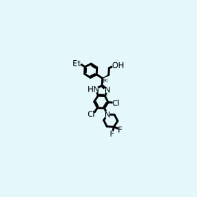 CCc1ccc([C@@H](CCO)c2nc3c(Cl)c(N4CCC(F)(F)CC4)c(Cl)cc3[nH]2)cc1